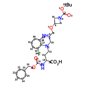 CC(C)(C)OC(=O)N1CC(OCCCN(CCC(NC(=O)OCc2ccccc2)C(=O)O)c2c(N)cccc2F)C1